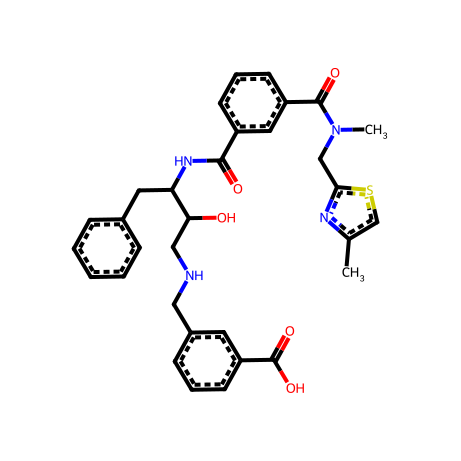 Cc1csc(CN(C)C(=O)c2cccc(C(=O)NC(Cc3ccccc3)C(O)CNCc3cccc(C(=O)O)c3)c2)n1